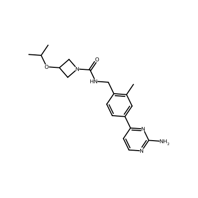 Cc1cc(-c2ccnc(N)n2)ccc1CNC(=O)N1CC(OC(C)C)C1